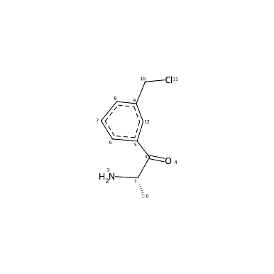 C[C@H](N)C(=O)c1cccc(CCl)c1